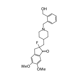 COc1cc2c(cc1OC)C(=O)C(F)(CC1CCN(Cc3ccccc3CO)CC1)C2